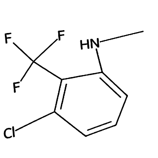 CNc1cccc(Cl)c1C(F)(F)F